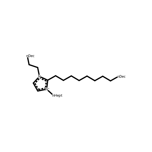 CCCCCCCCCCCCCCCCCCc1n(CCCCCCCCCCCC)cc[n+]1CCCCCCC